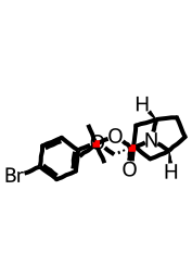 CC(C)(C)OC(=O)N1[C@@H]2CC[C@H]1C[C@@H](COc1ccc(Br)cc1)C2